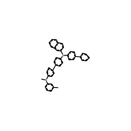 Cc1cccc(N(C)c2ccc(-c3ccc(N(c4ccc(-c5ccccc5)cc4)c4ccc5ccccc5c4)cc3)cc2)c1